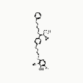 CCCc1c(OCCCOc2ccc(C(SCCCCc3ccccc3)C(C(=O)O)C3CC3)cc2)ccc(C(C)=O)c1O